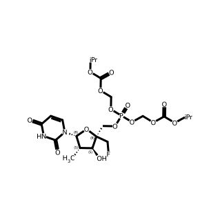 CC(C)OC(=O)OCOP(=O)(OCOC(=O)OC(C)C)OC[C@@]1(CF)O[C@@H](n2ccc(=O)[nH]c2=O)[C@@H](C)[C@@H]1O